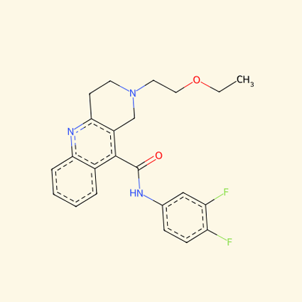 CCOCCN1CCc2nc3ccccc3c(C(=O)Nc3ccc(F)c(F)c3)c2C1